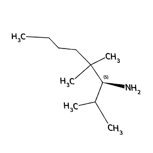 CCCCC(C)(C)[C@@H](N)C(C)C